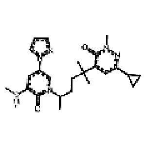 CC(CCC(C)(C)c1cc(C2CC2)nn(C)c1=O)n1cc(-n2cccn2)cc([SH](C)C)c1=O